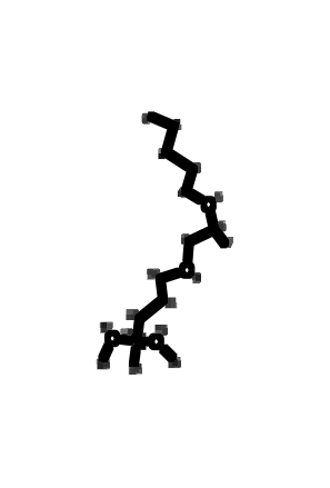 CCCCCOC(C)COCCC[Si](C)(OC)OC